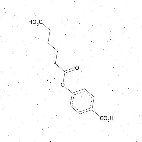 O=C(O)CCCCC(=O)Oc1ccc(C(=O)O)cc1